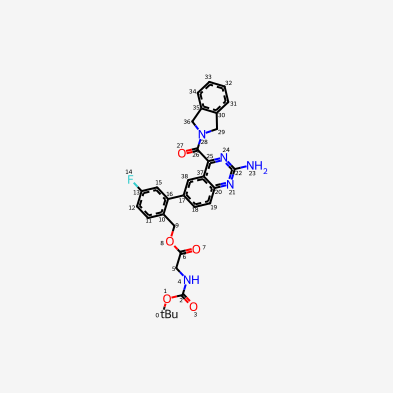 CC(C)(C)OC(=O)NCC(=O)OCc1ccc(F)cc1-c1ccc2nc(N)nc(C(=O)N3Cc4ccccc4C3)c2c1